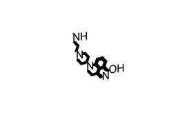 CNCCCN1CCC(N2CCc3cnc(O)c4cccc2c34)CC1